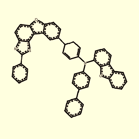 C1=CC(c2ccc3oc4ccc5nc(-c6ccccc6)sc5c4c3c2)CC=C1N(c1ccc(-c2ccccc2)cc1)c1cccc2c1oc1ccccc12